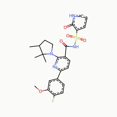 COc1cc(-c2ccc(C(=O)NS(=O)(=O)c3ccc[nH]c3=O)c(N3CCC(C)C3(C)C)n2)ccc1F